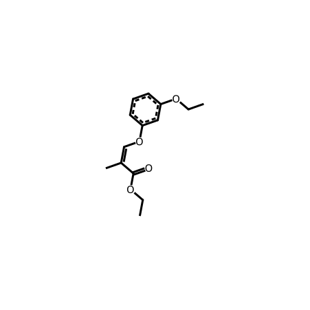 CCOC(=O)/C(C)=C\Oc1cccc(OCC)c1